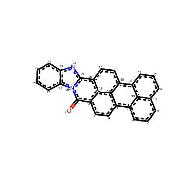 O=c1c2ccc3c4cccc5cccc(c6ccc(c2c36)c2nc3ccccc3n12)c54